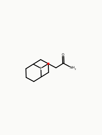 NC(=O)CCP1C2CCCC1CCC2